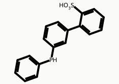 O=S(=O)(O)c1ccccc1-c1cccc(Pc2ccccc2)c1